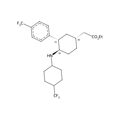 CCOC(=O)C[C@@H]1CC[C@@H](NC2CCC(C(F)(F)F)CC2)[C@H](c2ccc(C(F)(F)F)cc2)C1